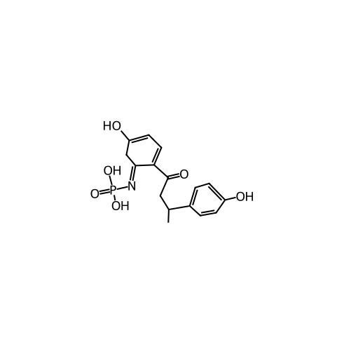 CC(CC(=O)C1=CC=C(O)CC1=NP(=O)(O)O)c1ccc(O)cc1